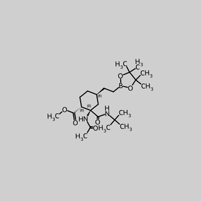 COC(=O)[C@@H]1CC[C@@H](CCB2OC(C)(C)C(C)(C)O2)C[C@]1(NC(C)=O)C(=O)NC(C)(C)C